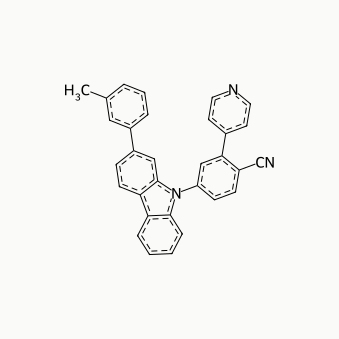 Cc1cccc(-c2ccc3c4ccccc4n(-c4ccc(C#N)c(-c5ccncc5)c4)c3c2)c1